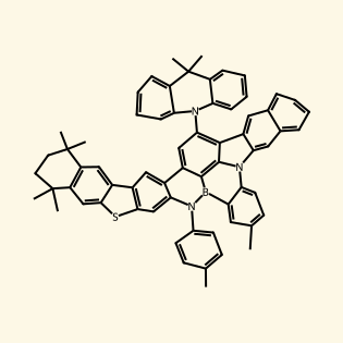 Cc1ccc(N2B3c4cc(C)ccc4-n4c5cc6ccccc6cc5c5c(N6c7ccccc7C(C)(C)c7ccccc76)cc(c3c54)-c3cc4c(cc32)sc2cc3c(cc24)C(C)(C)CCC3(C)C)cc1